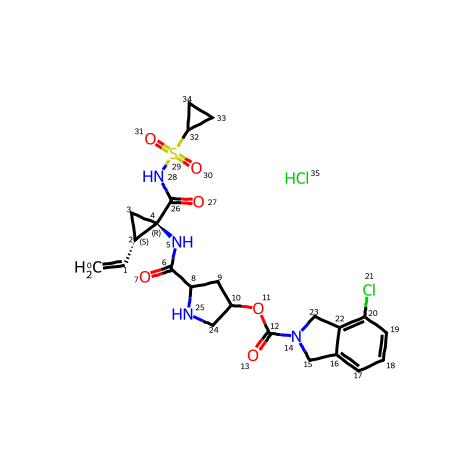 C=C[C@@H]1C[C@]1(NC(=O)C1CC(OC(=O)N2Cc3cccc(Cl)c3C2)CN1)C(=O)NS(=O)(=O)C1CC1.Cl